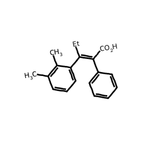 CCC(=C(C(=O)O)c1ccccc1)c1cccc(C)c1C